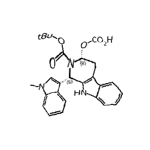 Cn1cc([C@H]2c3[nH]c4ccccc4c3C[C@@H](OC(=O)O)N2C(=O)OC(C)(C)C)c2ccccc21